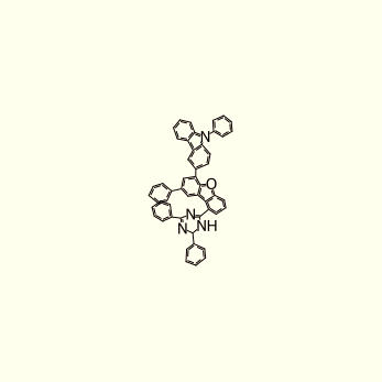 c1ccc(C2=NC(c3ccccc3)NC(c3cccc4oc5c(-c6ccc7c(c6)c6ccccc6n7-c6ccccc6)cc(-c6ccccc6)cc5c34)=N2)cc1